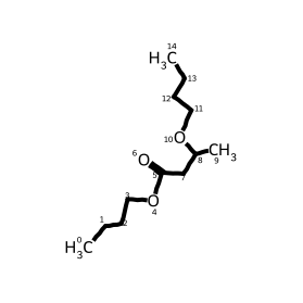 CCCCOC(=O)CC(C)OCCCC